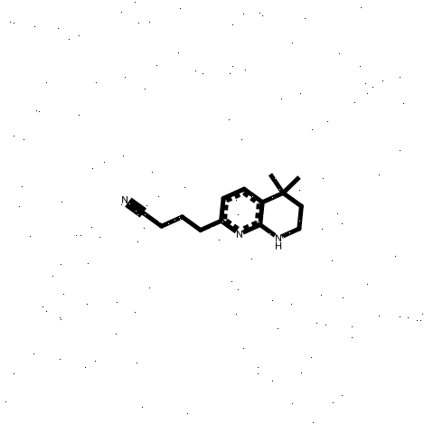 CC1(C)CCNc2nc(CCCC#N)ccc21